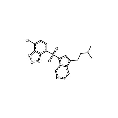 CN(C)CCc1cn(S(=O)(=O)c2ccc(Cl)c3nonc23)c2cnccc12